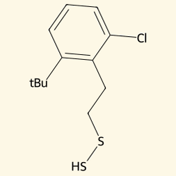 CC(C)(C)c1cccc(Cl)c1CCSS